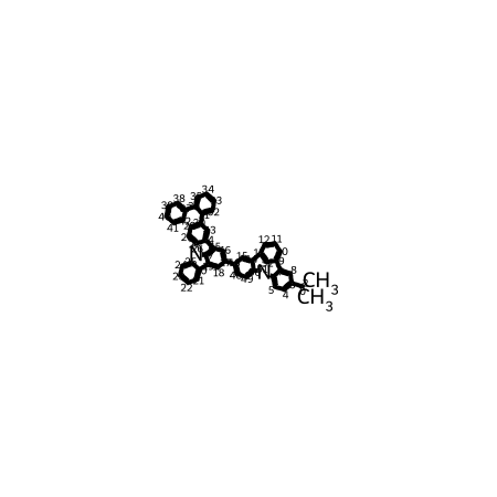 CC(C)c1ccc2c(c1)c1cccc3c4cc(-c5cc6c7ccccc7n7c8ccc(-c9ccccc9-c9ccccc9)cc8c(c5)c67)ccc4n2c31